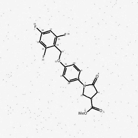 COC(=O)C1CC(=O)N(c2ccc(OCc3c(F)cc(F)cc3F)cc2)C1